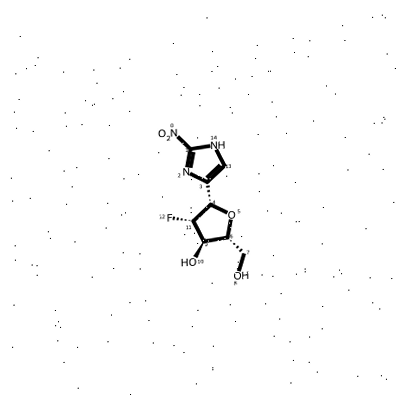 O=[N+]([O-])c1nc([C@@H]2O[C@H](CO)[C@@H](O)[C@@H]2F)c[nH]1